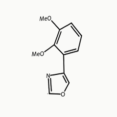 COc1cccc(-c2co[c]n2)c1OC